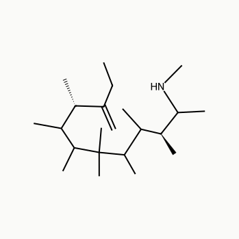 C=C(CC)[C@@H](C)C(C)C(C)C(C)(C)C(C)C(C)[C@H](C)C(C)NC